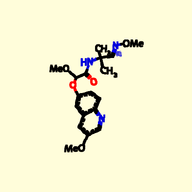 CO/N=C/C(C)(C)NC(=O)C(OC)Oc1ccc2ncc(OC)cc2c1